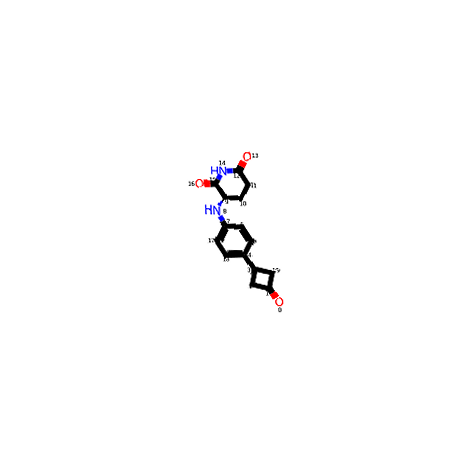 O=C1CC(c2ccc(N[C@@H]3CCC(=O)NC3=O)cc2)C1